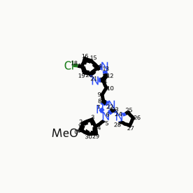 COc1ccc(Cn2nc(CCc3cnc4ccc(Cl)cc4n3)nc2N2CCCC2)cc1